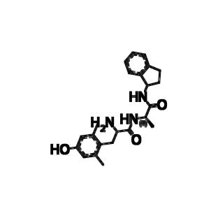 Cc1cc(O)cc(C)c1CC(N)C(=O)N[C@H](C)C(=O)NC1CCc2ccccc21